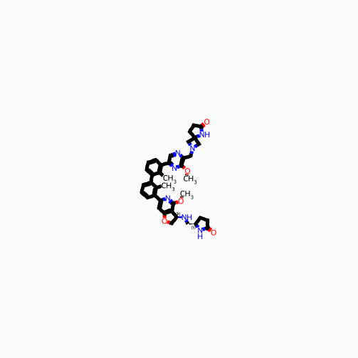 COc1nc(-c2cccc(-c3cccc(-c4cc5c(c(OC)n4)[C@@H](NC[C@@H]4CCC(=O)N4)CO5)c3C)c2C)cnc1CN1CC2(CCC(=O)N2)C1